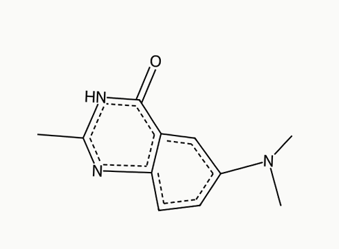 Cc1nc2ccc(N(C)C)cc2c(=O)[nH]1